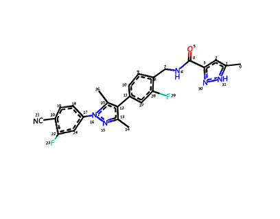 Cc1cc(C(=O)NCc2ccc(-c3c(C)nn(-c4ccc(C#N)c(F)c4)c3C)cc2F)n[nH]1